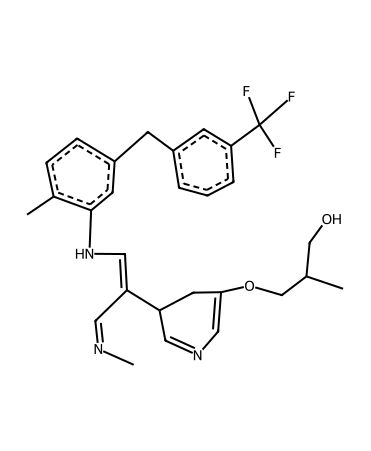 C/N=C\C(=C/Nc1cc(Cc2cccc(C(F)(F)F)c2)ccc1C)C1C=NC=C(OCC(C)CO)C1